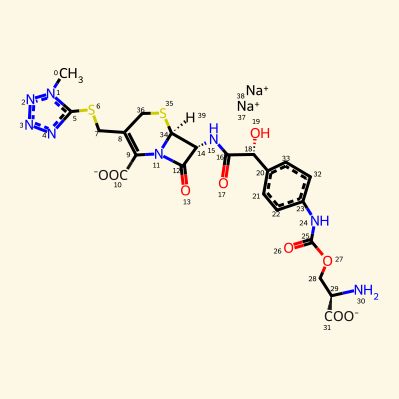 Cn1nnnc1SCC1=C(C(=O)[O-])N2C(=O)[C@@H](NC(=O)[C@H](O)c3ccc(NC(=O)OC[C@@H](N)C(=O)[O-])cc3)[C@@H]2SC1.[Na+].[Na+]